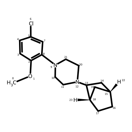 COc1ccc(Cl)cc1N1CCN(C2C[C@@H]3CC[C@H]2C3)CC1